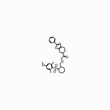 COc1cc(C)c(S(=O)(=O)N2CCCCC2COCC(=O)N2CCc3nc(-c4ccccc4)oc3C2)c(C)c1